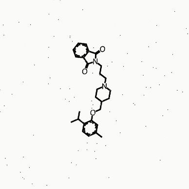 Cc1ccc(C(C)C)c(OCC2CCN(CCCN3C(=O)c4ccccc4C3=O)CC2)c1